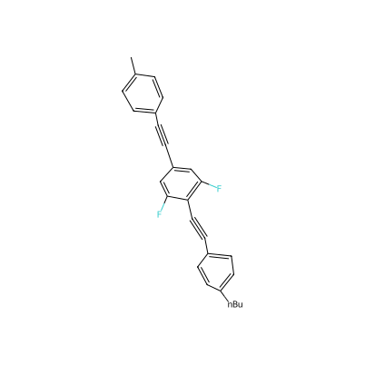 CCCCc1ccc(C#Cc2c(F)cc(C#Cc3ccc(C)cc3)cc2F)cc1